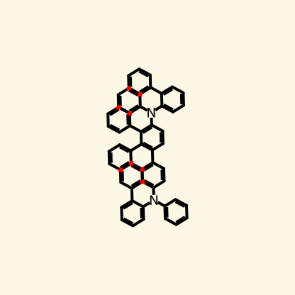 c1ccc(-c2ccccc2N(c2ccccc2)c2ccc(-c3ccc(N(c4ccccc4)c4ccccc4-c4ccccc4)c(-c4ccccc4)c3-c3ccccc3)cc2)cc1